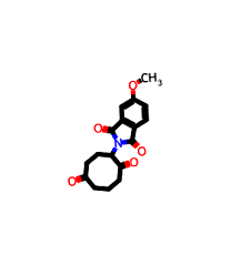 COc1ccc2c(c1)C(=O)N(C1CCC(=O)CCCC1=O)C2=O